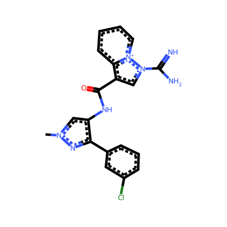 Cn1cc(NC(=O)c2cn(C(=N)N)[n+]3ccccc23)c(-c2cccc(Cl)c2)n1